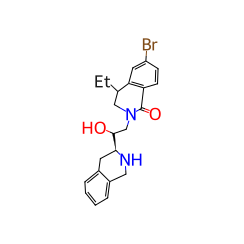 CCC1CN(CC(O)[C@@H]2Cc3ccccc3CN2)C(=O)c2ccc(Br)cc21